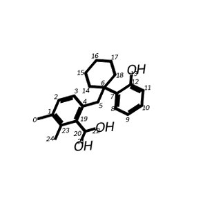 Cc1ccc(CC2(c3ccccc3O)CCCCC2)c(C(O)O)c1C